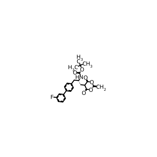 C=C1OC(=O)C(C[C@H](Cc2ccc(-c3cccc(F)c3)cc2)NC(=O)OC(C)(C)C)C(=O)O1